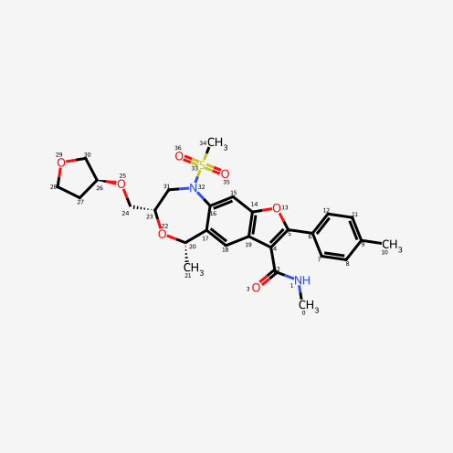 CNC(=O)c1c(-c2ccc(C)cc2)oc2cc3c(cc12)[C@H](C)O[C@H](CO[C@H]1CCOC1)CN3S(C)(=O)=O